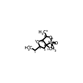 CCC1CC2(C)C(O1)C(C)OS2(=O)=O